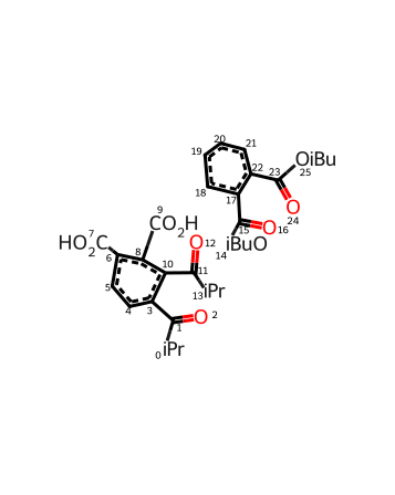 CC(C)C(=O)c1ccc(C(=O)O)c(C(=O)O)c1C(=O)C(C)C.CC(C)COC(=O)c1ccccc1C(=O)OCC(C)C